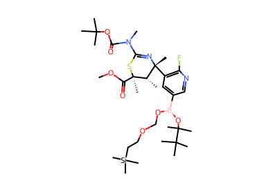 COC(=O)[C@@]1(C)SC(N(C)C(=O)OC(C)(C)C)=N[C@](C)(c2cc(B(OCOCC[Si](C)(C)C)OC(C)(C)C(C)(C)C)cnc2F)[C@@H]1C